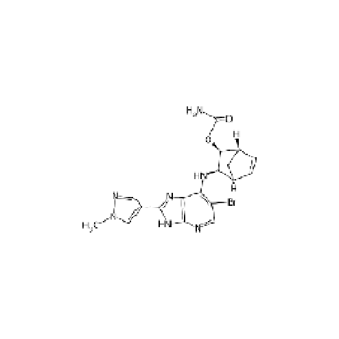 Cn1cc(-c2nc3c(N[C@H]4[C@@H](OC(N)=O)[C@@H]5C=C[C@H]4C5)c(Br)cnc3[nH]2)cn1